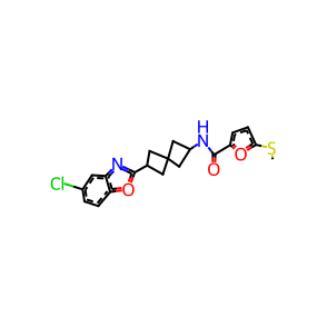 CSc1ccc(C(=O)NC2CC3(C2)CC(c2nc4cc(Cl)ccc4o2)C3)o1